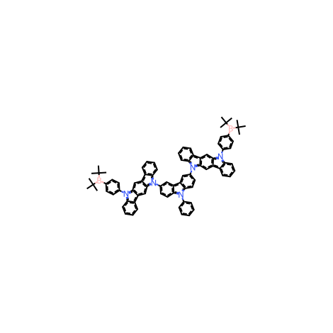 CC(C)(C)B(c1ccc(-n2c3ccccc3c3cc4c(cc32)c2ccccc2n4-c2ccc3c(c2)c2cc(-n4c5ccccc5c5cc6c(cc54)c4ccccc4n6-c4ccc(B(C(C)(C)C)C(C)(C)C)cc4)ccc2n3-c2ccccc2)cc1)C(C)(C)C